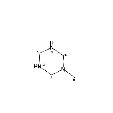 CN1CNCNC1